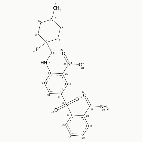 CN1CCC(F)(CNc2ccc(S(=O)(=O)c3ccccc3C(N)=O)cc2[N+](=O)[O-])CC1